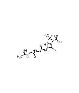 CC(=N)NCC(=O)NCC(=O)NC1C(=O)N2[C@@H]1SC(C)(C)[C@@H]2C(=O)O